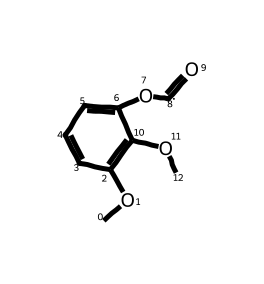 COc1cccc(O[C]=O)c1OC